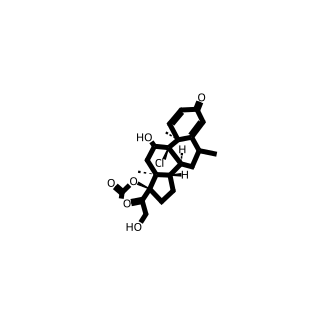 CC(=O)O[C@]1(C(=O)CO)CC[C@H]2[C@@H]3CC(C)C4=CC(=O)C=C[C@]4(C)[C@@]3(Cl)C(O)C[C@@]21C